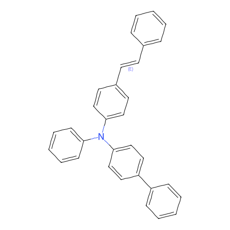 C(=C\c1ccc(N(c2ccccc2)c2ccc(-c3ccccc3)cc2)cc1)/c1ccccc1